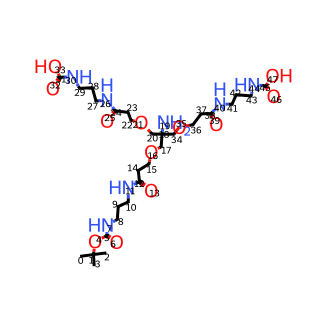 CC(C)(C)OC(=O)NCCCNC(=O)CCOCC(N)(COCCC(=O)NCCCNC(=O)O)COCCC(=O)NCCCNC(=O)O